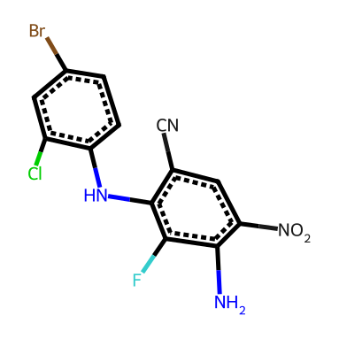 N#Cc1cc([N+](=O)[O-])c(N)c(F)c1Nc1ccc(Br)cc1Cl